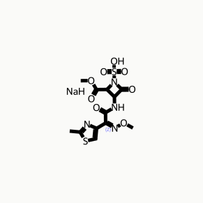 CO/N=C(\C(=O)NC1C(=O)N(S(=O)(=O)O)C1C(=O)OC)c1csc(C)n1.[NaH]